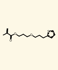 C=C(C)C(=O)OCCCOCCCc1cccs1